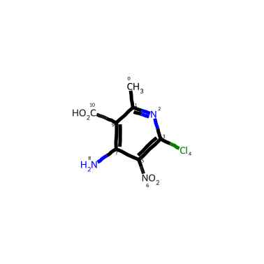 Cc1nc(Cl)c([N+](=O)[O-])c(N)c1C(=O)O